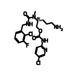 CN(C(=O)NCc1cccc(F)c1Cl)[C@H](CCCN)COC(=O)Nc1ccc(Cl)cn1